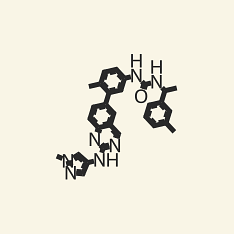 Cc1cccc(C(C)NC(=O)Nc2ccc(C)c(-c3ccc4nc(Nc5cnn(C)c5)ncc4c3)c2)c1